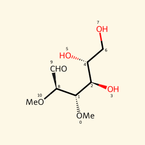 CO[C@@H]([C@H](O)[C@H](O)CO)[C@H](C=O)OC